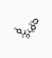 O=C(Nc1ccc(-n2ccccc2=O)c(Cl)c1)[C@H]1COCN1C(=O)Nc1ccc(Cl)cc1